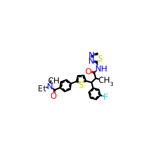 CCN(C)C(=O)c1ccc(-c2ccc(C(c3cccc(F)c3)C(C)C(=O)Nc3nncs3)s2)cc1